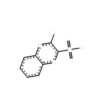 Nc1nc2ccccc2nc1S(N)(=O)=O